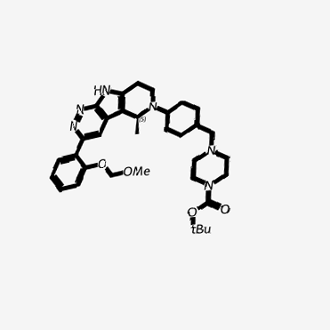 COCOc1ccccc1-c1cc2c3c([nH]c2nn1)CCN(C1CCC(CN2CCN(C(=O)OC(C)(C)C)CC2)CC1)[C@H]3C